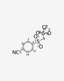 N#Cc1ccc(S(=O)(=O)CS(=O)(=O)C(F)(F)F)cc1